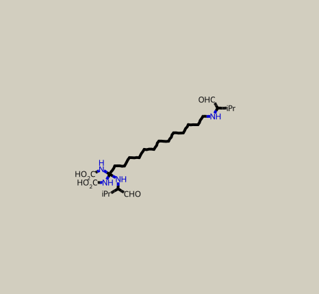 CC(C)C(C=O)NCCCCCCCCCCCCCC(NC(=O)O)(NC(=O)O)NC(C=O)C(C)C